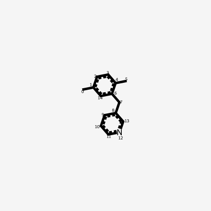 Cc1ccc(C)c([CH]c2cccnc2)c1